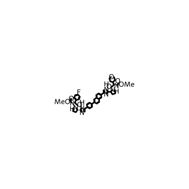 COC(=O)N[C@H](C(=O)N1CCCC1c1nc(-c2ccc3cc(-c4ccc(-c5cnc([C@@H]6CCCN6C(=O)[C@H](NC(=O)OC)c6ccc(F)cc6)[nH]5)cc4)ccc3c2)c[nH]1)C1CCOCC1